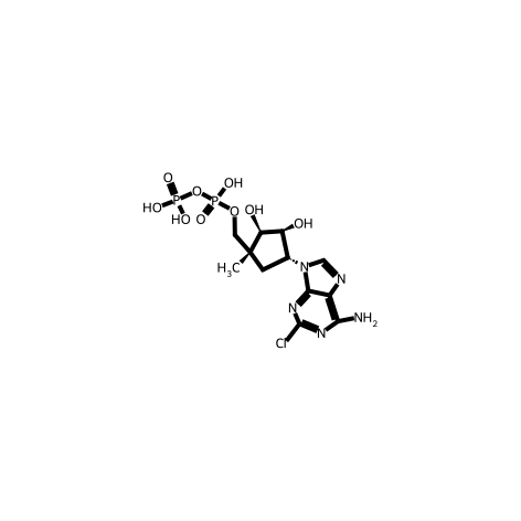 C[C@]1(COP(=O)(O)OP(=O)(O)O)C[C@@H](n2cnc3c(N)nc(Cl)nc32)[C@H](O)[C@@H]1O